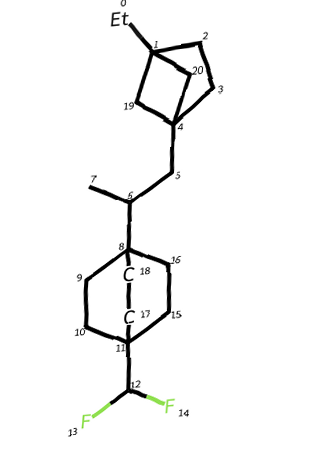 CCC12CCC(CC(C)C34CCC(C(F)F)(CC3)CC4)(C1)C2